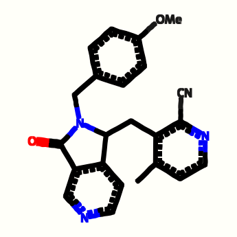 COc1ccc(CN2C(=O)c3cnccc3C2Cc2c(C)ccnc2C#N)cc1